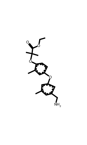 CCOC(=O)C(C)(C)Oc1ccc(Oc2cc(C)cc(CN)c2)cc1C